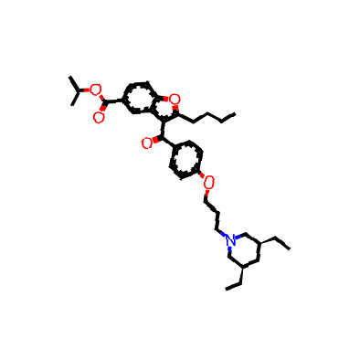 CCCCc1oc2ccc(C(=O)OC(C)C)cc2c1C(=O)c1ccc(OCCCN2C[C@H](CC)C[C@H](CC)C2)cc1